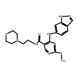 CSc1ncc(C(=O)NCCN2CCOCC2)c(Nc2ccc3cn[nH]c3c2)n1